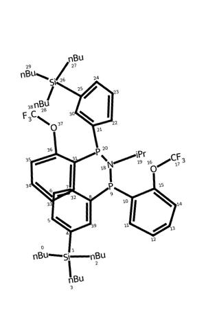 CCCC[Si](CCCC)(CCCC)c1cccc(P(c2ccccc2OC(F)(F)F)N(C(C)C)P(c2cccc([Si](CCCC)(CCCC)CCCC)c2)c2ccccc2OC(F)(F)F)c1